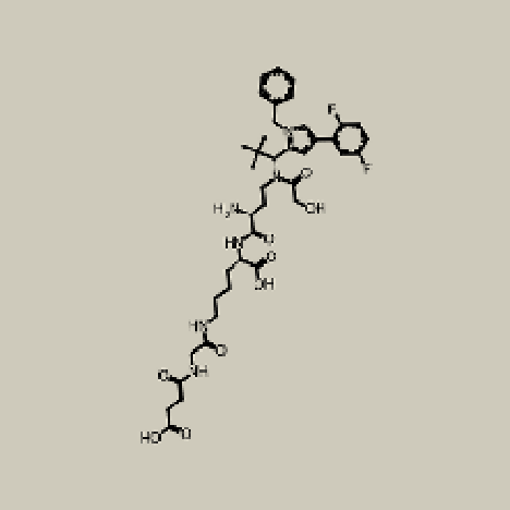 CC(C)(C)[C@H](c1cc(-c2cc(F)ccc2F)cn1Cc1ccccc1)N(CC[C@H](N)C(=O)N[C@H](CCCCNC(=O)CNC(=O)CCC(=O)O)C(=O)O)C(=O)CO